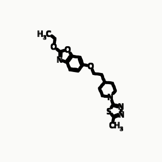 CCOc1nc2ccc(OCCC3CCN(c4nnc(C)s4)CC3)cc2o1